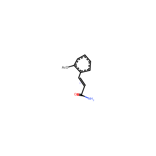 CC(=O)Oc1ccccc1/C=C/C(N)=O